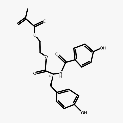 C=C(C)C(=O)OCCOC(=O)[C@H](Cc1ccc(O)cc1)NC(=O)c1ccc(O)cc1